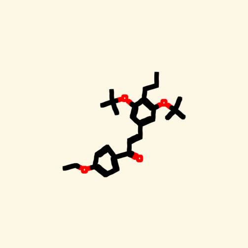 CCCc1c(OC(C)(C)C)cc(C=CC(=O)c2ccc(OCC)cc2)cc1OC(C)(C)C